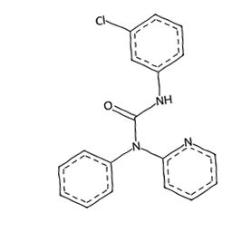 O=C(Nc1cccc(Cl)c1)N(c1ccccc1)c1ccccn1